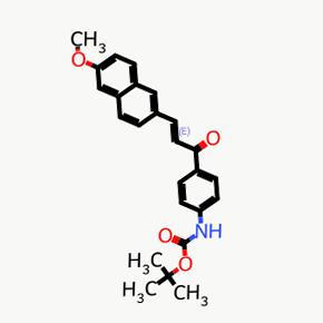 COc1ccc2cc(/C=C/C(=O)c3ccc(NC(=O)OC(C)(C)C)cc3)ccc2c1